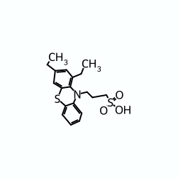 CCc1cc(CC)c2c(c1)Sc1ccccc1N2CCCS(=O)(=O)O